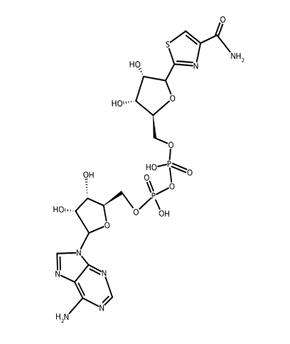 NC(=O)c1csc(C2O[C@@H](COP(=O)(O)OP(=O)(O)OC[C@H]3OC(n4cnc5c(N)ncnc54)[C@H](O)[C@@H]3O)[C@H](O)[C@@H]2O)n1